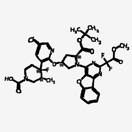 COC(=O)C(F)(F)c1nc(N2C[C@@H](Oc3ncc(Cl)cc3[C@@]3(F)CCN(C(=O)O)C[C@@H]3C)C[C@H]2C(=O)OC(C)(C)C)c2oc3ccccc3c2n1